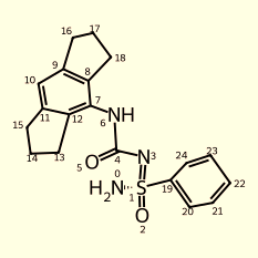 N[S@](=O)(=NC(=O)Nc1c2c(cc3c1CCC3)CCC2)c1ccccc1